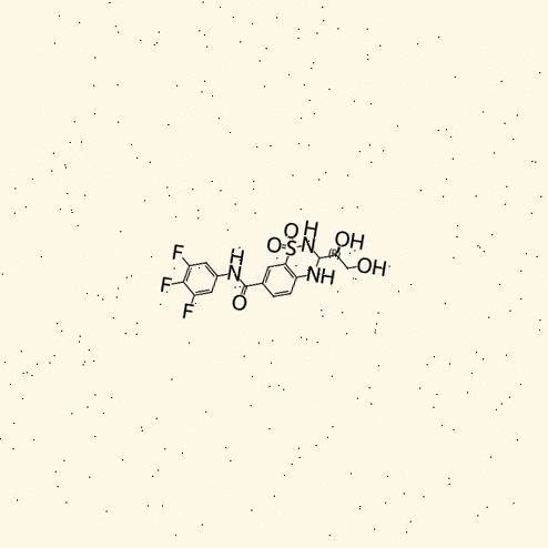 O=C(Nc1cc(F)c(F)c(F)c1)c1ccc2c(c1)S(=O)(=O)NC([C@@H](O)CO)N2